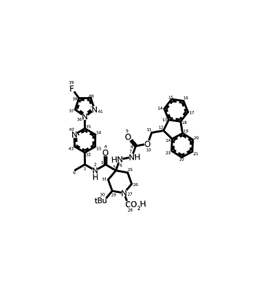 CC(NC(=O)C1(NNC(=O)OCC2c3ccccc3-c3ccccc32)CCN(C(=O)O)C(C(C)(C)C)C1)c1ccc(-n2cc(F)cn2)nc1